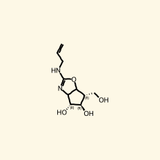 C=CCNC1=NC2C(O1)[C@H](CO)[C@@H](O)[C@@H]2O